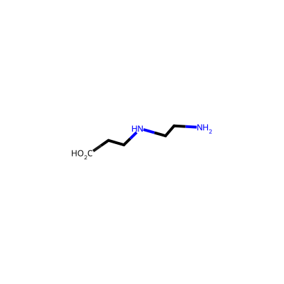 NCCNCCC(=O)O